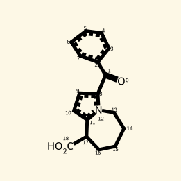 O=C(c1ccccc1)c1ccc2n1CCCCC2C(=O)O